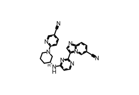 N#Cc1ccc(N2CCC[C@@H](Nc3ccnc(-c4cnc5ccc(C#N)cn45)n3)C2)nc1